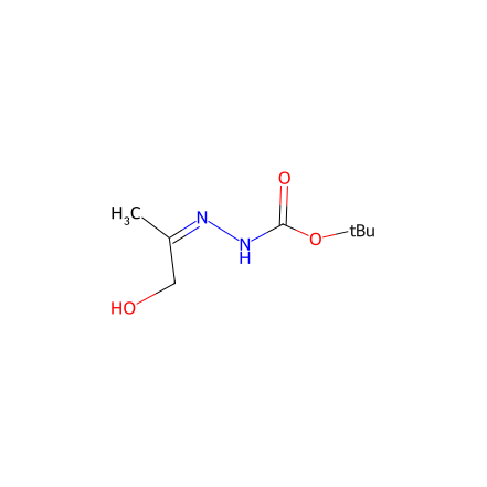 C/C(CO)=N/NC(=O)OC(C)(C)C